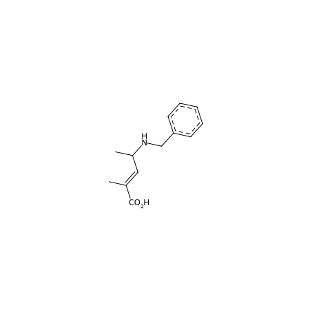 CC(=CC(C)NCc1ccccc1)C(=O)O